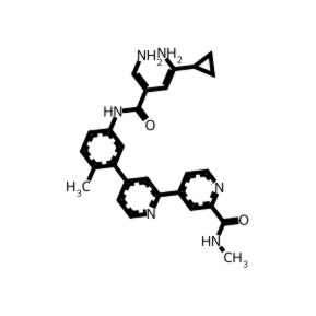 CNC(=O)c1cc(-c2cc(-c3cc(NC(=O)C(/C=C(\N)C4CC4)=C/N)ccc3C)ccn2)ccn1